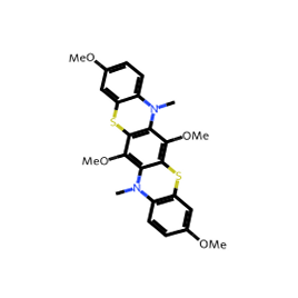 COc1ccc2c(c1)sc1c(OC)c3c(sc4cc(OC)ccc4n3C)c(OC)c1n2C